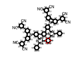 N#Cc1cc(C#N)cc(-c2ccc3c(c2)c2cc(-c4cc(C#N)cc(C#N)c4)ccc2n3-c2ccc(-c3cccc(-c4ccc(-n5c6ccc(-c7cc(C#N)cc(C#N)c7)cc6c6cc(-c7cc(C#N)cc(C#N)c7)ccc65)cc4-c4nc(-c5ccccc5)nc(-c5ccccc5)n4)c3)c(-c3nc(-c4ccccc4)nc(-c4ccccc4)n3)c2)c1